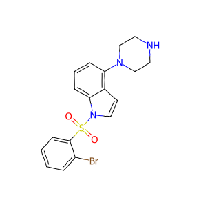 O=S(=O)(c1ccccc1Br)n1ccc2c(N3CCNCC3)cccc21